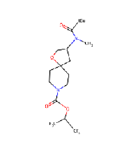 CN(C(=O)C(C)(C)C)C1COC2(CCN(C(=O)OC(C(F)(F)F)C(F)(F)F)CC2)C1